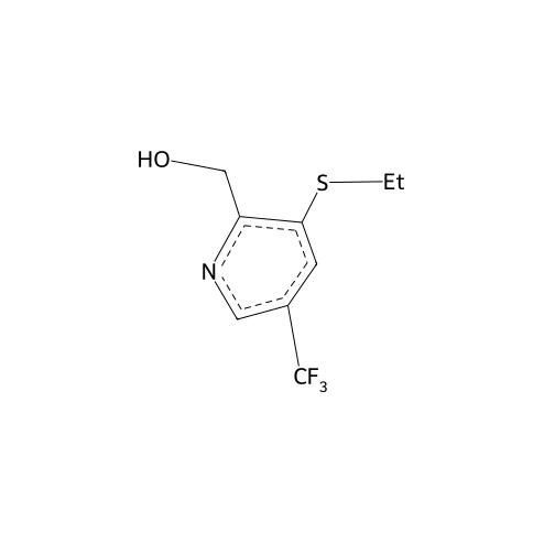 CCSc1cc(C(F)(F)F)cnc1CO